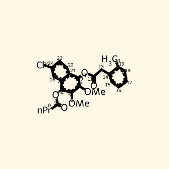 CCCC(=O)Oc1c(OC)c(OC)c(OC(=O)Cc2ccccc2C)c2ccc(Cl)cc12